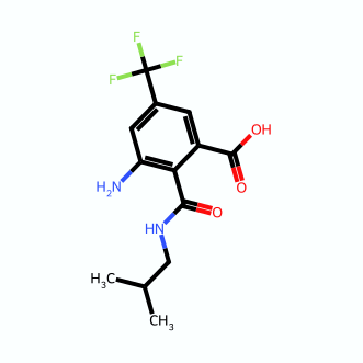 CC(C)CNC(=O)c1c(N)cc(C(F)(F)F)cc1C(=O)O